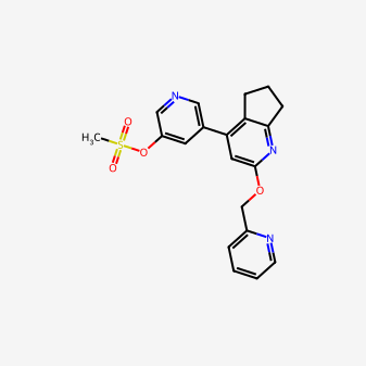 CS(=O)(=O)Oc1cncc(-c2cc(OCc3ccccn3)nc3c2CCC3)c1